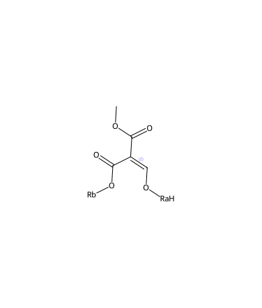 COC(=O)/C(=C/[O][RaH])C(=O)[O][Rb]